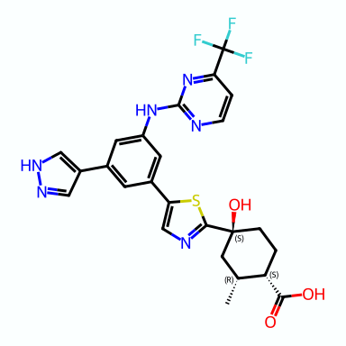 C[C@@H]1C[C@](O)(c2ncc(-c3cc(Nc4nccc(C(F)(F)F)n4)cc(-c4cn[nH]c4)c3)s2)CC[C@@H]1C(=O)O